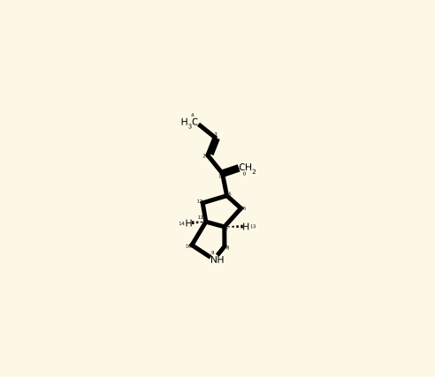 C=C(/C=C/C)C1C[C@H]2CNC[C@H]2C1